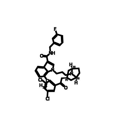 COc1cccc2c(C(=O)NCc3cccc(F)c3)cn(CCCN3[C@@H]4CC[C@H]3C[C@@H](CC(=O)c3cc(Cl)cc(Cl)c3)C4)c12